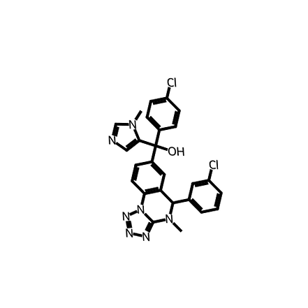 CN1c2nnnn2-c2ccc(C(O)(c3ccc(Cl)cc3)c3cncn3C)cc2C1c1cccc(Cl)c1